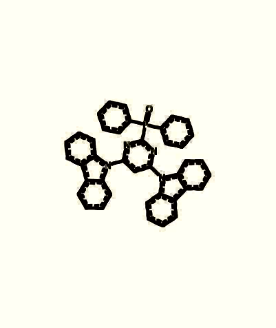 O=P(c1ccccc1)(c1ccccc1)c1nc(-n2c3ccccc3c3ccccc32)cc(-n2c3ccccc3c3ccccc32)n1